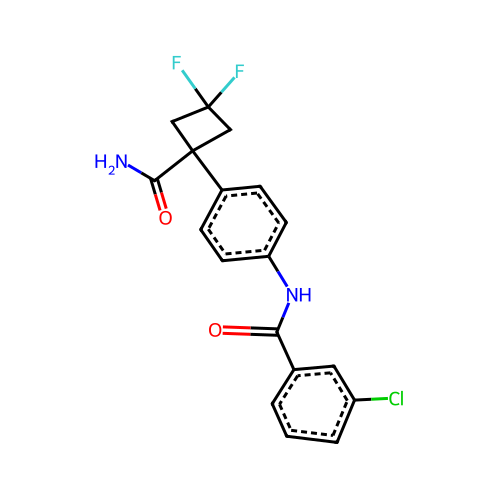 NC(=O)C1(c2ccc(NC(=O)c3cccc(Cl)c3)cc2)CC(F)(F)C1